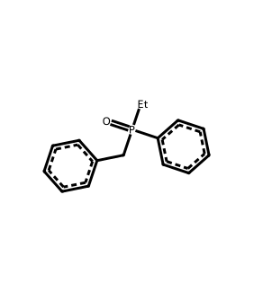 CCP(=O)(Cc1ccccc1)c1ccccc1